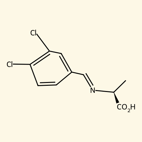 C[C@H](N=Cc1ccc(Cl)c(Cl)c1)C(=O)O